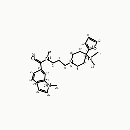 CN(CCCN1CCC(c2cccs2)(N(C)C)CC1)C(=O)c1ccc2ccn(C)c2c1